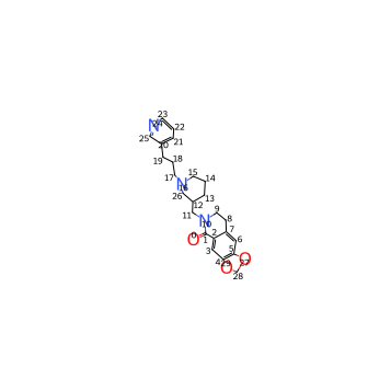 O=C1c2cc3c(cc2CCN1CC1CCCN(CCCc2cccnc2)C1)OCO3